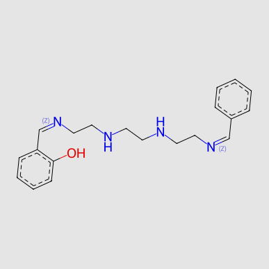 Oc1ccccc1/C=N\CCNCCNCC/N=C\c1ccccc1